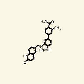 Cc1cc(-c2ccc3c(n2)N(Cc2ccc4[nH]c(=O)ccc4c2)NN3)ccc1C(N)=O